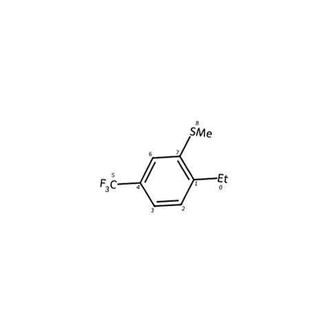 CCc1ccc(C(F)(F)F)cc1SC